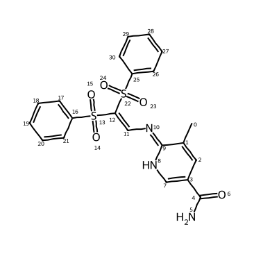 Cc1cc(C(N)=O)c[nH]c1=NC=C(S(=O)(=O)c1ccccc1)S(=O)(=O)c1ccccc1